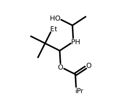 CCC(C)(C)C(OC(=O)C(C)C)PC(C)O